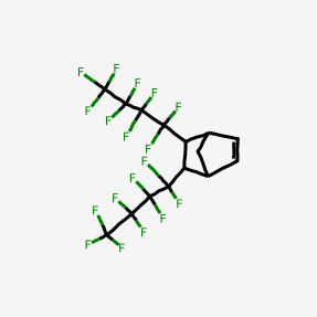 FC(F)(F)C(F)(F)C(F)(F)C(F)(F)C1C2C=CC(C2)C1C(F)(F)C(F)(F)C(F)(F)C(F)(F)F